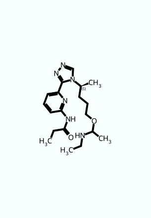 CCNC(C)OCCC[C@H](C)n1cnnc1-c1cccc(NC(=O)CC)n1